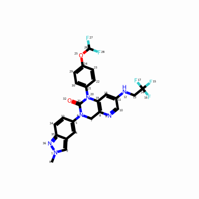 Cn1cc2cc(N3Cc4ncc(NCC(F)(F)F)cc4N(c4ccc(OC(F)F)cc4)C3=O)ccc2n1